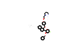 COc1ccc2c(C(=O)c3ccc(OCCC4CCCCN4)cc3)c(-c3ccc(F)cc3OCc3ccccc3)ccc2c1